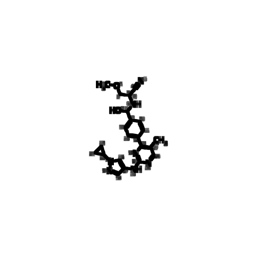 COC[C@@H](C#N)NC(O)c1ccc(-c2nc(Nc3cnn(C4CC4)c3)ncc2C)cc1